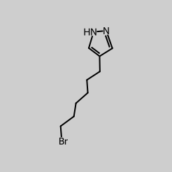 BrCCCCCCc1cn[nH]c1